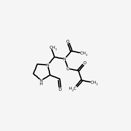 C=C(C)C(=O)ON(C(C)=O)C(C)N1CCNC1C=O